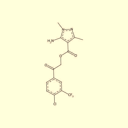 Cc1nn(C)c(N)c1C(=O)OCC(=O)c1ccc(Cl)c(C(F)(F)F)c1